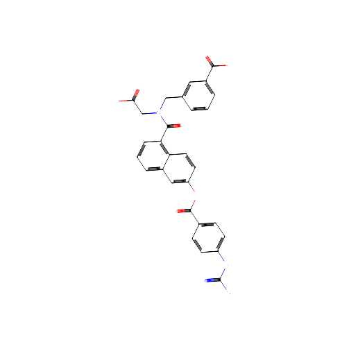 N=C(N)Nc1ccc(C(=O)Oc2ccc3c(C(=O)N(CC(=O)O)Cc4cccc(C(=O)O)c4)cccc3c2)cc1